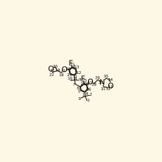 CC(C)(C)c1cc(CC(C)(C)c2ccc(F)c(OCC3COC3)c2)c(F)c(OCCN2CCOCC2)c1